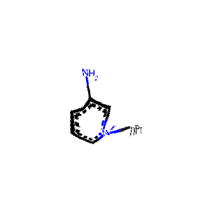 CCC[n+]1cccc(N)c1